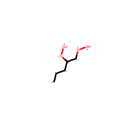 CCCC(COO)OO